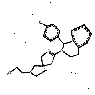 OCCN1CC[C@@]2(CN=C(N3CCc4ccccc4[C@@H]3c3ccc(F)cc3)O2)C1